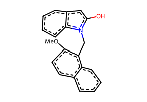 COc1ccc2ccccc2c1Cn1c(O)cc2ccccc21